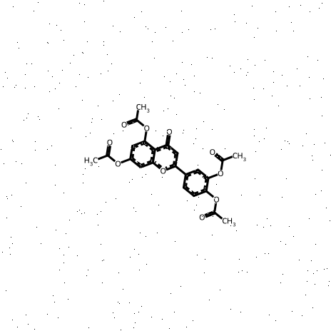 CC(=O)Oc1cc(OC(C)=O)c2c(=O)cc(-c3ccc(OC(C)=O)c(OC(C)=O)c3)oc2c1